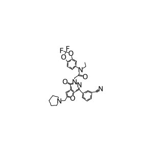 CCN(C(=O)Cn1nc(-c2cccc(C#N)c2)c2oc(CN3CCCCC3)cc2c1=O)c1ccc2c(c1)OC(F)(F)O2